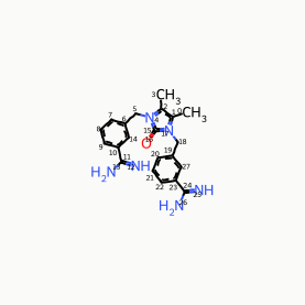 Cc1c(C)n(Cc2cccc(C(=N)N)c2)c(=O)n1Cc1cccc(C(=N)N)c1